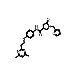 Cc1cc(C)nc(CCNc2ccc(NC(=O)C3CC(=O)N(Cc4ccco4)C3)cc2)n1